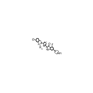 C[C@@H](Cc1ccc(Cl)cc1F)c1csc(NC(=O)c2c(F)cc(N3CCNCC3)cc2F)n1